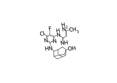 C/C(N)=C/C(=N)Nc1nc(NC2C3CC4CC2CC(O)(C4)C3)nc(Cl)c1F